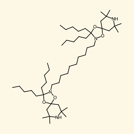 CCCCCC1(CCCCC)OC2(CC(C)(C)NC(C)(C)C2)ON1CCCCCCCCCCN1OC2(CC(C)(C)NC(C)(C)C2)OC1(CCCCC)CCCCC